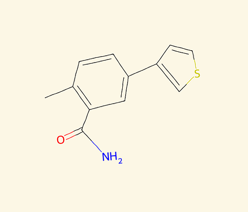 Cc1ccc(-c2ccsc2)cc1C(N)=O